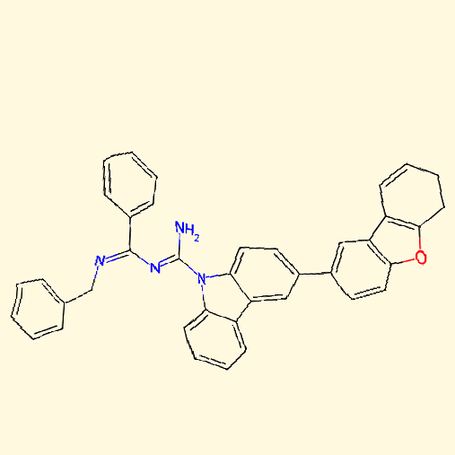 N/C(=N\C(=N/Cc1ccccc1)c1ccccc1)n1c2ccccc2c2cc(-c3ccc4oc5c(c4c3)C=CCC5)ccc21